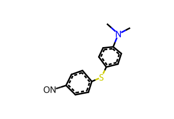 CN(C)c1ccc(Sc2ccc(N=O)cc2)cc1